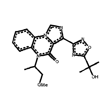 COCC(C)n1c(=O)c2c(-c3noc(C(C)(C)O)n3)ncn2c2ccccc21